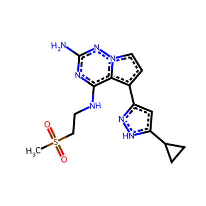 CS(=O)(=O)CCNc1nc(N)nn2ccc(-c3cc(C4CC4)[nH]n3)c12